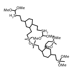 COC(OC)[SiH2]CCC1CCC(CC[SiH2]C(OC)OC)C(CC[Si](C)(C)O[Si](C)(C)CCC2CCC(CC[Si](C)(OC)OC)CC2CC[Si](C)(OC)OC)C1